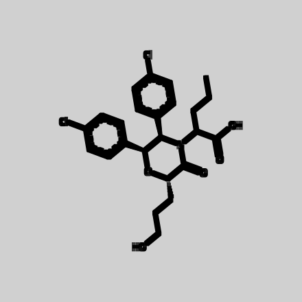 CCCC(C(=O)O)N1C(=O)[C@H](CCCO)O[C@@H](c2ccc(Cl)cc2)[C@H]1c1ccc(Cl)cc1